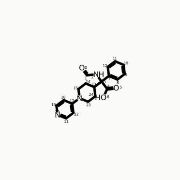 O=CNC(C(=O)O)(c1ccccc1)C1CCN(c2ccncc2)CC1